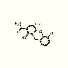 Br.N=c1c(C(N)=O)cccn1Cc1cccc(Cl)c1Cl